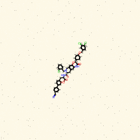 N#Cc1ccc(-c2ccc(CC(NC(=O)[C@@H]3Cc4cc5c(cc4CN3Cc3ccccc3Cl)O[C@@H](c3ccc(OCc4ccc(Cl)c(Cl)c4)cc3)C(=O)N5)C(=O)O)cc2)cc1